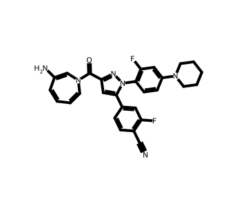 N#Cc1ccc(-c2cc(C(=O)N3C=CC=CC(N)=C3)nn2-c2ccc(N3CCCCC3)cc2F)cc1F